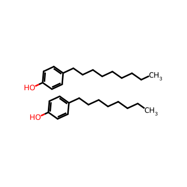 CCCCCCCCCc1ccc(O)cc1.CCCCCCCCc1ccc(O)cc1